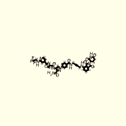 NC(=O)c1nn(-c2ccc(C(=O)NCC#CCNc3cccc4c3C(=O)N(C3CCC(=O)NC3=O)C4=O)cc2)cc1NC(=O)c1coc(-c2ccnc(NCC(F)(F)F)c2)n1